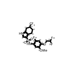 COc1cc(NS(=O)(=O)c2c[nH]c3c2CCC(C(F)(F)F)C3)c(F)cc1OCC(F)F